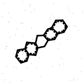 c1ccc2cc3c(cc2c1)Cc1cc2ccccc2cc1C3